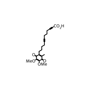 COC1=C(OC)C(=O)C(CCCCC#CCCCC#CC(=O)O)=C(C)C1=O